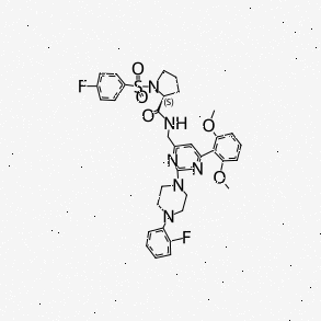 COc1cccc(OC)c1-c1cc(CNC(=O)[C@@H]2CCCN2S(=O)(=O)c2ccc(F)cc2)nc(N2CCN(c3ccccc3F)CC2)n1